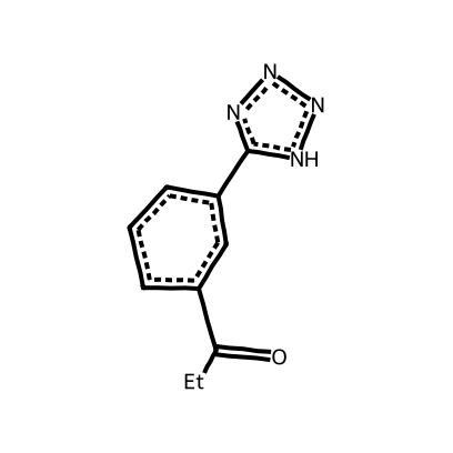 CCC(=O)c1cccc(-c2nnn[nH]2)c1